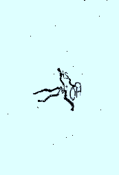 CCCC[N+](CCCC)(CCCC)CCCC.O=C(O)CCS